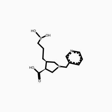 O=C(O)[C@@H]1CN(Cc2cccnc2)C[C@@H]1CCCB(O)O